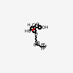 CC1(c2ccc(O)cc2)COc2cc(O)ccc2C1c1cccc(OCCCCCS(=O)(=O)CCCC(F)(F)C(F)(F)F)c1